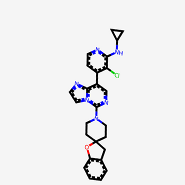 Clc1c(-c2cnc(N3CCC4(CC3)Cc3ccccc3O4)n3ccnc23)ccnc1NC1CC1